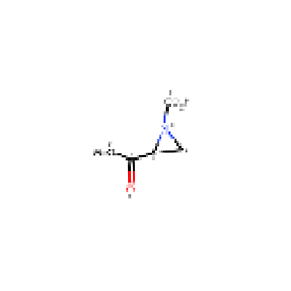 COC(=O)C1CN1C(=O)O